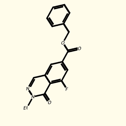 CCn1ncc2cc(C(=O)OCc3ccccc3)cc(F)c2c1=O